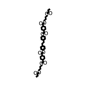 C=CC(=O)OCCCCOC(=O)C1CCC(C(=O)Oc2ccc(CCc3ccc(OC(=O)C4CCC(C(=O)OCCCCOC(=O)C=C)CC4)cc3)cc2)CC1